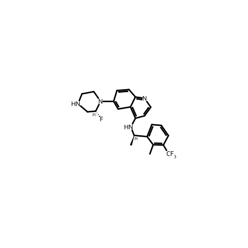 Cc1c([C@@H](C)Nc2ccnc3ccc(N4CCNC[C@H]4F)cc23)cccc1C(F)(F)F